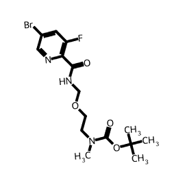 CN(CCOCNC(=O)c1ncc(Br)cc1F)C(=O)OC(C)(C)C